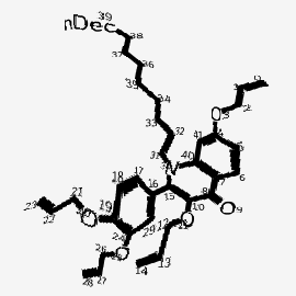 C=CCOc1ccc2c(=O)c(OCC=C)c(-c3ccc(OCC=C)c(OCC=C)c3)n(C=CCCCCCCCCCCCCCCCC)c2c1